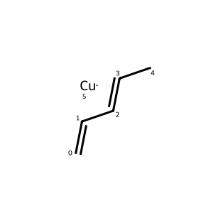 C=CC=CC.[Cu]